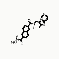 Cc1nc2ccncn2c1CNC(=O)c1ccc2cc(C(=O)NO)ccc2c1